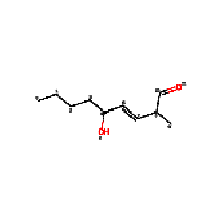 CCCCC(O)C=CC(C)C=O